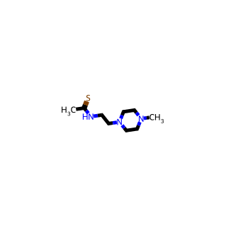 CC(=S)NCCN1CCN(C)CC1